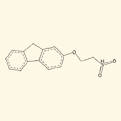 O=[SH](=O)CCOc1ccc2c(c1)Cc1ccccc1-2